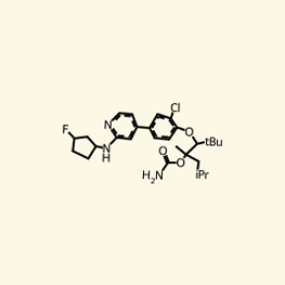 CC(C)CC(C)(OC(N)=O)C(Oc1ccc(-c2ccnc(NC3CCC(F)C3)c2)cc1Cl)C(C)(C)C